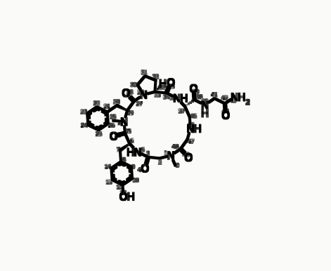 CN1CC(=O)N[C@@H](Cc2ccc(O)cc2)C(=O)N(C)[C@@H](Cc2ccccc2)C(=O)N2CCC[C@H]2C(=O)N[C@H](C(=O)NCC(N)=O)CNCC1=O